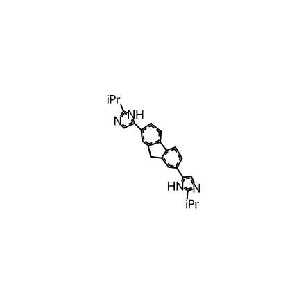 CC(C)c1ncc(-c2ccc3c(c2)Cc2cc(-c4cnc(C(C)C)[nH]4)ccc2-3)[nH]1